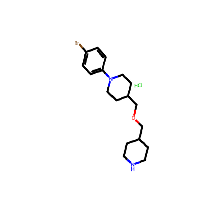 Brc1ccc(N2CCC(COCC3CCNCC3)CC2)cc1.Cl